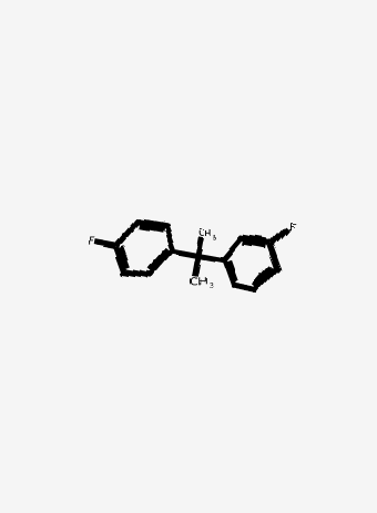 CC(C)(c1ccc(F)cc1)c1cccc(F)c1